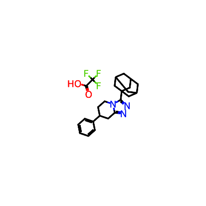 O=C(O)C(F)(F)F.c1ccc(C2CCn3c(nnc3C34CC5CC(CC(C5)C3)C4)C2)cc1